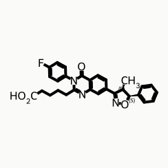 C[C@@H]1C(c2ccc3c(=O)n(-c4ccc(F)cc4)c(CCCCC(=O)O)nc3c2)=NO[C@@H]1c1ccccc1